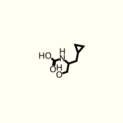 O=C(O)NC(CO)CC1CC1